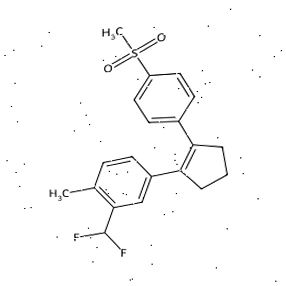 Cc1ccc(C2=C(c3ccc(S(C)(=O)=O)cc3)CCC2)cc1C(F)F